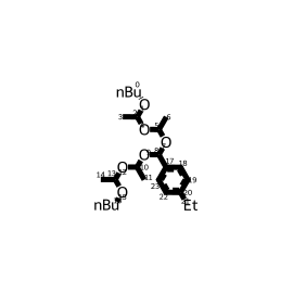 CCCCOC(C)OC(C)OC(OC(C)OC(C)OCCCC)c1ccc(CC)cc1